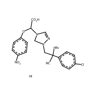 CCCCC(C#N)(CN1CN(C(Oc2ccc([N+](=O)[O-])cc2)C(=O)O)C=N1)c1ccc(Cl)cc1.I